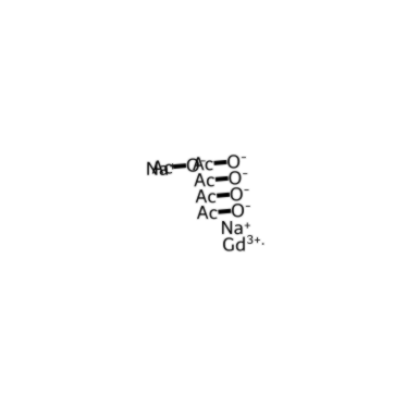 CC(=O)[O-].CC(=O)[O-].CC(=O)[O-].CC(=O)[O-].CC(=O)[O-].[Gd+3].[Na+].[Na+]